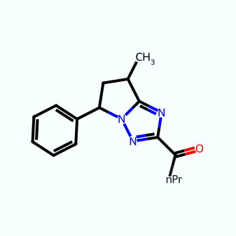 CCCC(=O)c1nc2n(n1)C(c1ccccc1)CC2C